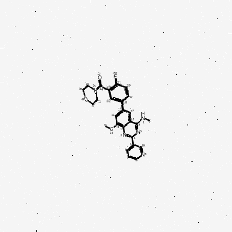 CNc1nc(-c2cccnc2)nc2c(OC)cc(-c3ccc(F)c(C(=O)N4CCOCC4)c3)cc12